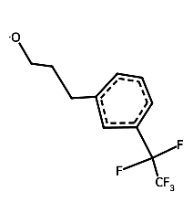 [O]CCCc1cccc(C(F)(F)C(F)(F)F)c1